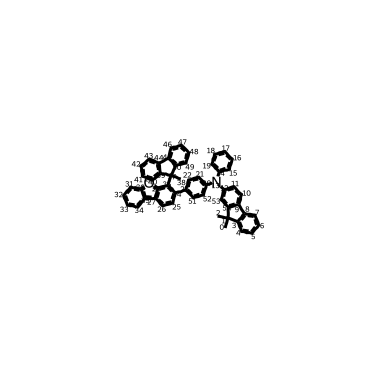 CC1(C)c2ccccc2-c2ccc(N(c3ccccc3)c3ccc(-c4ccc5c(oc6ccccc65)c4C4(C)c5ccccc5-c5ccccc54)cc3)cc21